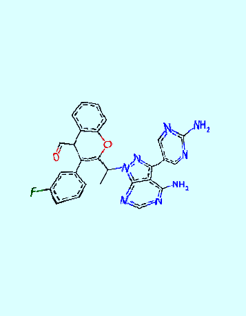 CC(C1=C(c2cccc(F)c2)C(C=O)c2ccccc2O1)n1nc(-c2cnc(N)nc2)c2c(N)ncnc21